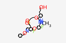 Cn1nc2nc1-c1cc(ccc1F)Oc1c(F)cc3c(ccn3COCc3ccccc3)c1/C=C/S(=O)(=O)CCCCOC2c1cccc(CCCO)c1